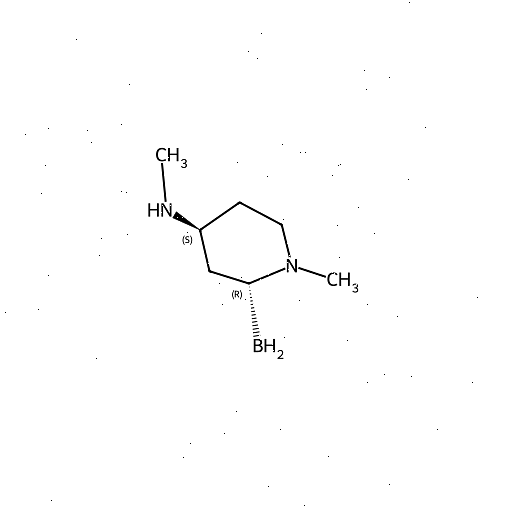 B[C@@H]1C[C@@H](NC)CCN1C